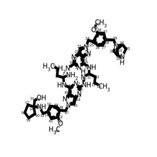 CCCC(N)Nc1nc(NNC(CCC)Nc2nc(N)nc3cn(Cc4ccc(CN5CC6CC5CN6)cc4OC)nc23)nc2cn(Cc3ccc(CNC4(CO)CCCC4)cc3OC)nc12